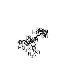 NC(=O)OCC1=C(OC(=O)O)N2C(=O)C(NC(=O)Cc3cccs3)(C(=O)NCCCCC(P(=O)(O)O)P(=O)(O)O)[C@@H]2SC1